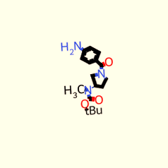 CN(C(=O)OC(C)(C)C)[C@H]1CCN(C(=O)c2ccc(N)cc2)C1